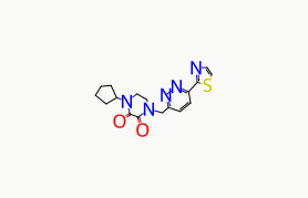 O=C1C(=O)N(C2CCCC2)CCN1Cc1ccc(-c2nccs2)nn1